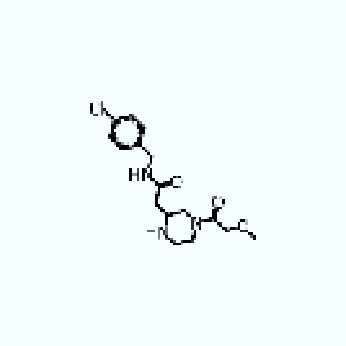 COCC(=O)N1CCNC(CC(=O)NCc2ccc(Cl)cc2)C1